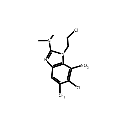 CN(C)c1nc2cc(C(F)(F)F)c(Cl)c([N+](=O)[O-])c2n1CCCl